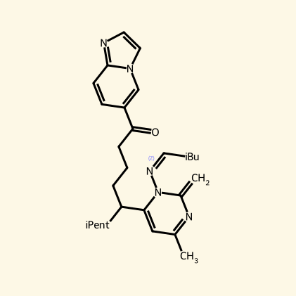 C=C1N=C(C)C=C(C(CCCC(=O)c2ccc3nccn3c2)C(C)CCC)N1/N=C\C(C)CC